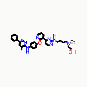 CCN(CCO)CCCCNc1nccc(-c2cccnc2Oc2ccc(Nc3nnc(-c4ccccc4)cc3C)cc2)n1